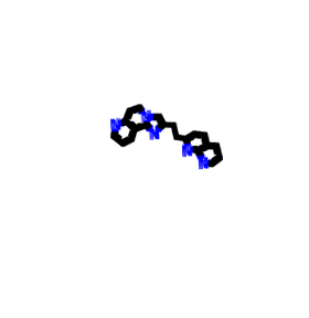 c1cnc2nc(CCc3cn4ccc5ncccc5c4n3)ccc2c1